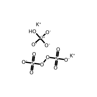 O=S(=O)([O-])OOS(=O)(=O)[O-].[K+].[K+].[O-][I+3]([O-])([O-])O